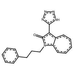 O=c1c(-c2nnn[nH]2)c2cccccc-2n1CCCc1ccccc1